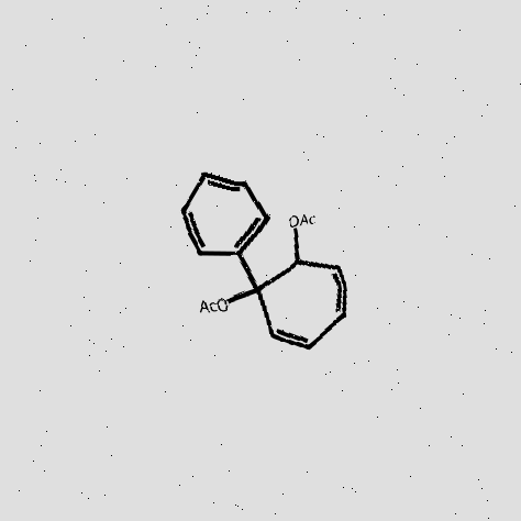 CC(=O)OC1C=CC=CC1(OC(C)=O)c1ccccc1